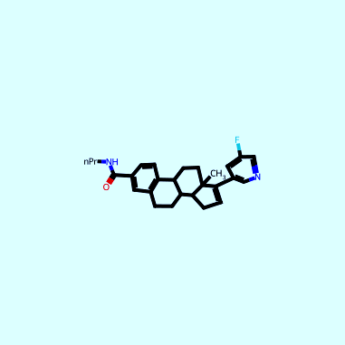 CCCNC(=O)c1ccc2c(c1)CCC1C2CCC2(C)C(c3cncc(F)c3)=CCC12